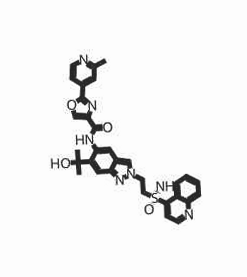 Cc1cc(-c2nc(C(=O)Nc3cc4cn(CCS(=N)(=O)c5ccnc6ccccc56)nc4cc3C(C)(C)O)co2)ccn1